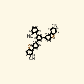 N#Cc1ccc2sc3cc(-c4cc(-c5ccc6sc7ccc(C#N)cc7c6c5)cc(-c5ccccc5C#N)c4)ccc3c2c1